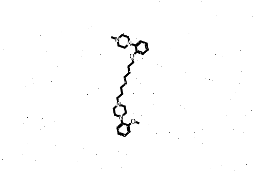 COc1ccccc1N1CCN(CCCCCCCCOc2ccccc2N2CCN(C)CC2)CC1